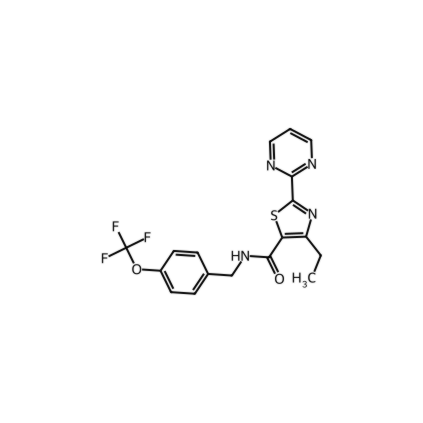 CCc1nc(-c2ncccn2)sc1C(=O)NCc1ccc(OC(F)(F)F)cc1